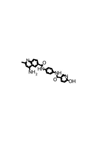 Cc1cc(N)c2cc(C(=O)Nc3ccc(NC(=O)c4ccc(O)nc4)cc3)ccc2n1